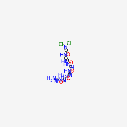 Cn1cc(NC(=O)c2cc(NC(=O)c3cc(NC(=O)c4cc5cc(NC(=O)c6ccc(N(CCCl)CCCl)cc6)ccc5[nH]4)cn3C)cn2C)cc1C(=O)NCCC(=N)N